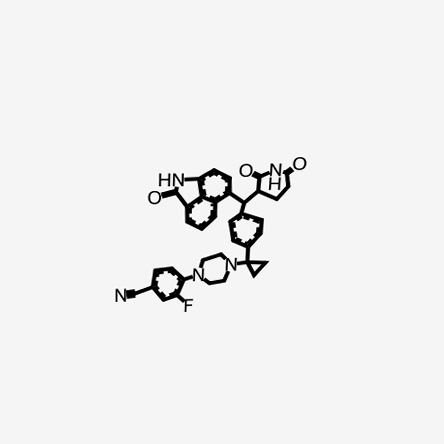 N#Cc1ccc(N2CCN(C3(c4ccc(C(c5ccc6c7c(cccc57)C(=O)N6)C5CCC(=O)NC5=O)cc4)CC3)CC2)c(F)c1